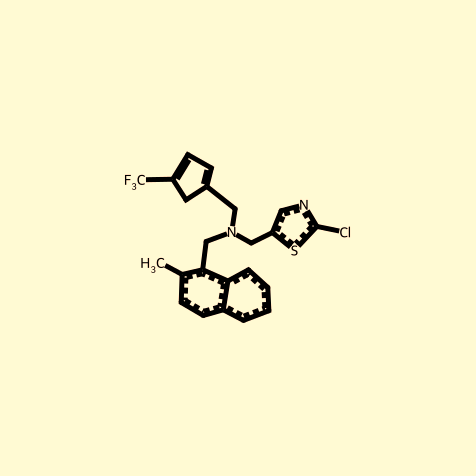 Cc1ccc2ccccc2c1CN(CC1=CC=C(C(F)(F)F)C1)Cc1cnc(Cl)s1